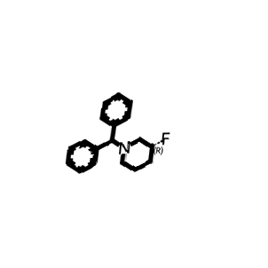 F[C@@H]1CCCN(C(c2ccccc2)c2ccccc2)C1